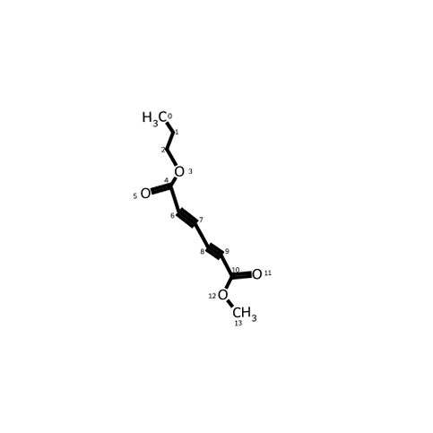 CCCOC(=O)C#CC#CC(=O)OC